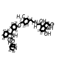 Cc1cc(CCNC[C@H](O)c2ccc(O)c3[nH]c(=O)ccc23)ccc1COc1cccc([C@@H](NC(=O)O[C@H]2CN3CCC2CC3)c2ccccc2)c1